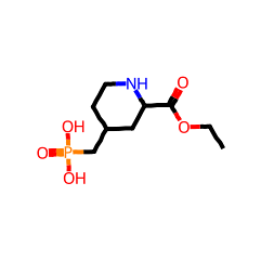 CCOC(=O)C1CC(CP(=O)(O)O)CCN1